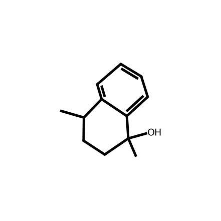 CC1CCC(C)(O)c2ccccc21